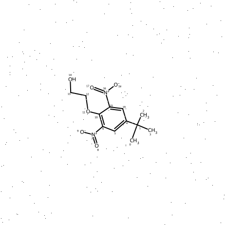 CC(C)(C)c1cc([N+](=O)[O-])c(OCCO)c([N+](=O)[O-])c1